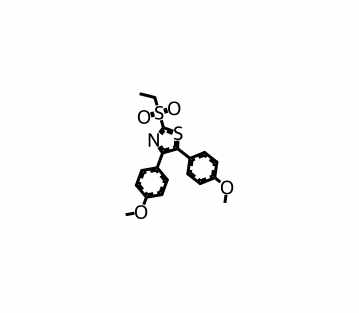 CCS(=O)(=O)c1nc(-c2ccc(OC)cc2)c(-c2ccc(OC)cc2)s1